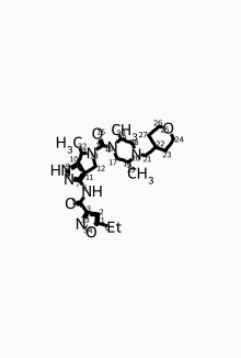 CCc1cc(C(=O)Nc2n[nH]c3c2CN(C(=O)N2C[C@@H](C)N(CC4CCOCC4)C[C@@H]2C)C3C)no1